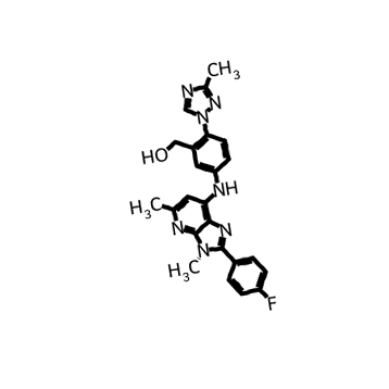 Cc1cc(Nc2ccc(-n3cnc(C)n3)c(CO)c2)c2nc(-c3ccc(F)cc3)n(C)c2n1